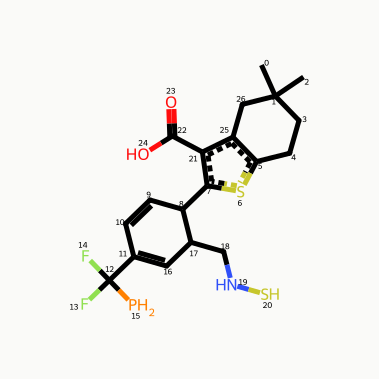 CC1(C)CCc2sc(C3C=CC(C(F)(F)P)=CC3CNS)c(C(=O)O)c2C1